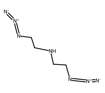 [N-]=[N+]=NCCNCCN=[N+]=[N-]